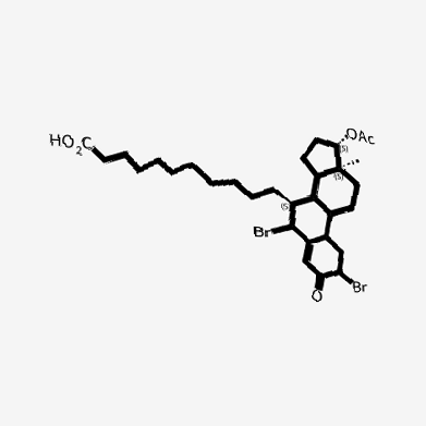 CC(=O)O[C@H]1CCC2C3C(CC[C@@]21C)C1CC(Br)C(=O)C=C1C(Br)[C@H]3CCCCCCCCCCC(=O)O